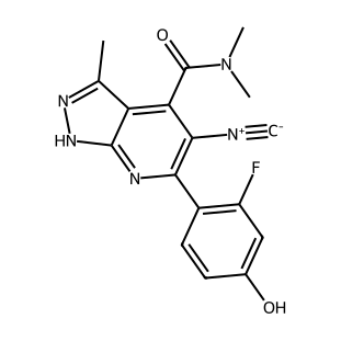 [C-]#[N+]c1c(-c2ccc(O)cc2F)nc2[nH]nc(C)c2c1C(=O)N(C)C